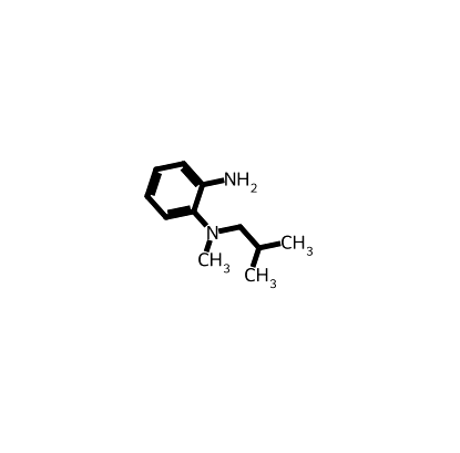 CC(C)CN(C)c1ccccc1N